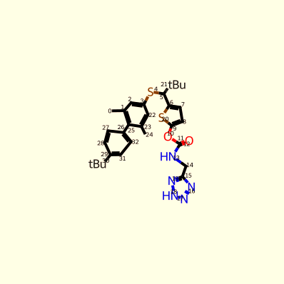 Cc1cc(SC(c2ccc(OC(=O)NCc3nn[nH]n3)s2)C(C)(C)C)cc(C)c1-c1ccc(C(C)(C)C)cc1